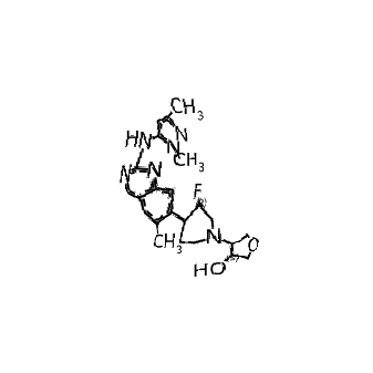 Cc1cc(Nc2ncc3cc(C)c(C4CCN(C5COC[C@H]5O)C[C@@H]4F)cc3n2)n(C)n1